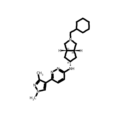 Cc1nn(C)cc1-c1ccc(N[C@@H]2C[C@@H]3CN(CC4CCCCC4)C[C@@H]3C2)nn1